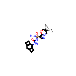 CC1(C)COc2c([S@@](N)(=O)=NC(=O)Nc3c4c(cc5c3CC5)CC4)cnn2C1